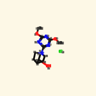 CCCCOc1nc(OCCCC)nc([N+]23CCC(CC2)C(O)C3)n1.[Cl-]